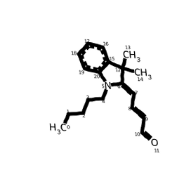 CCCCCN1C(=CC=CC=O)C(C)(C)c2ccccc21